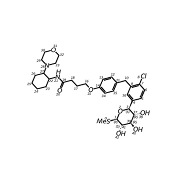 CS[C@H]1O[C@@H](c2ccc(Cl)c(Cc3ccc(OCCCC(=O)NC4CCCCC4N4CCOCC4)cc3)c2)[C@H](O)[C@@H](O)[C@@H]1O